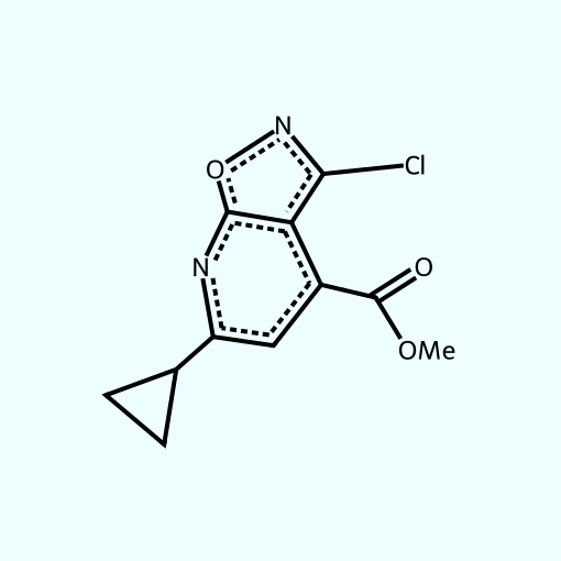 COC(=O)c1cc(C2CC2)nc2onc(Cl)c12